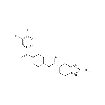 CCCN(CC1CCN(C(=O)c2ccc(F)c(Cl)c2)CC1)[C@H]1CCc2nc(N)sc2C1